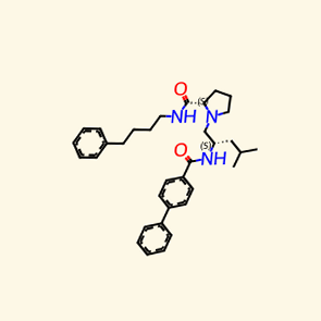 CC(C)C[C@@H](CN1CCC[C@H]1C(=O)NCCCCc1ccccc1)NC(=O)c1ccc(-c2ccccc2)cc1